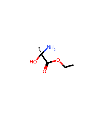 CCOC(=O)[C@](C)(N)O